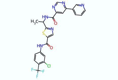 CC(NC(=O)c1cc(-c2cccnc2)ncn1)c1ncc(C(=O)Nc2ccc(C(F)(F)F)c(Cl)c2)s1